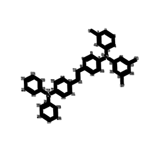 Cc1cccc(N(c2ccc(/C=C/c3ccc(N(c4ccccc4)c4ccccc4)cc3)cc2)c2cc(C)cc(C)c2)c1